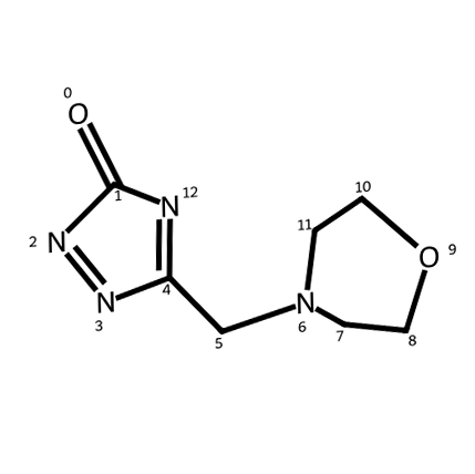 O=C1N=NC(CN2CCOCC2)=N1